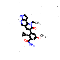 CCn1c(=O)c(-c2cc(OC)cc(C(N)=O)c2C2CC2)cc2cnc3[nH]ccc3c21